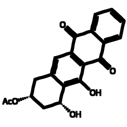 CC(=O)O[C@@H]1Cc2cc3c(c(O)c2[C@H](O)C1)C(=O)c1ccccc1C3=O